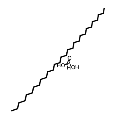 CCCCCCCCCCCCCCCCCCCCCCCCCCCCC.O=[PH](O)O